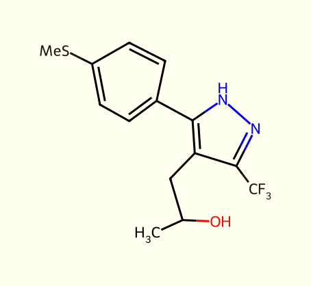 CSc1ccc(-c2[nH]nc(C(F)(F)F)c2CC(C)O)cc1